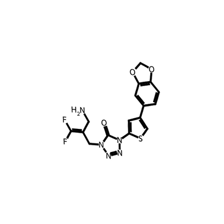 NCC(Cn1nnn(-c2cc(-c3ccc4c(c3)OCO4)cs2)c1=O)=C(F)F